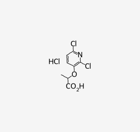 CC(Oc1ccc(Cl)nc1Cl)C(=O)O.Cl